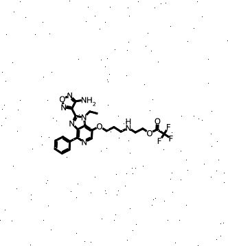 CCn1c(-c2nonc2N)nc2c(-c3ccccc3)ncc(OCCCNCCOC(=O)C(F)(F)F)c21